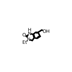 CCN1Cc2ccc(CO)cc2NC1=O